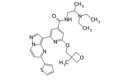 CCN(CC)C(C)CNC(=O)c1cc(OCC2(C)COC2)nc(-c2cnn3ccc(-c4cccs4)nc23)c1